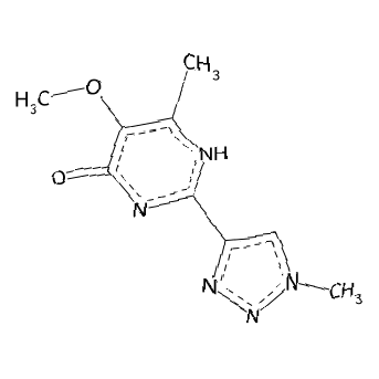 COc1c(C)[nH]c(-c2cn(C)nn2)nc1=O